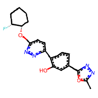 Cc1nnc(-c2ccc(-c3ccc(O[C@H]4CCCC[C@H]4F)nn3)c(O)c2)o1